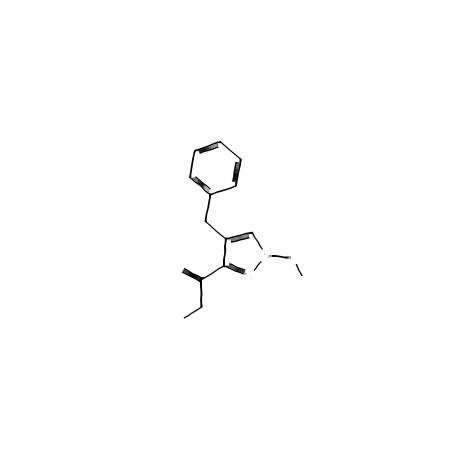 CCOC(=O)CC(=O)c1nn(PC)cc1Cc1ccccc1